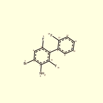 Nc1c(Br)cc(F)c(-c2ccccc2F)c1F